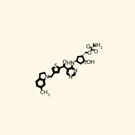 Cc1ccc2c(c1)N(Cc1csc(C(=O)c3cncnc3N[C@@H]3C[C@H](COS(N)(=O)=O)[C@@H](O)C3)c1)CC2